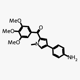 COc1cc(C(=O)c2cc(-c3ccc(N)cc3)cn2C)cc(OC)c1OC